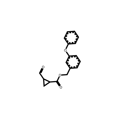 O=CC1CC1C(=O)OCc1cccc(Oc2ccccc2)c1